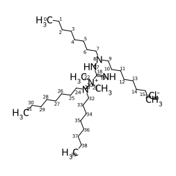 CCCCCCCCN(CCCCCCCC)NC(=N)[N+](C)(C)N(CCCCCCCC)CCCCCCCC.[Cl-]